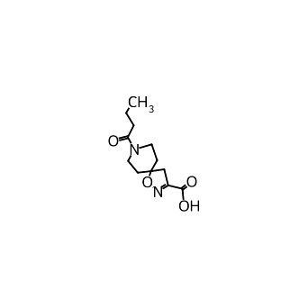 CCCC(=O)N1CCC2(CC1)CC(C(=O)O)=NO2